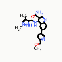 COCc1ccc(-c2ccc3ncc(C(N)=O)c(NCC4NN(C)C=C4C)c3c2)cn1